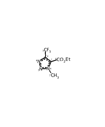 CCOC(=O)c1c(C(F)(F)F)nnn1C